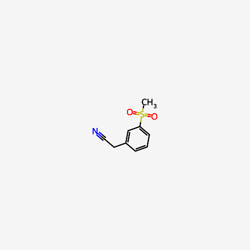 CS(=O)(=O)c1cccc(CC#N)c1